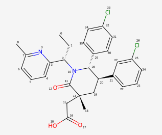 CC[C@@H](c1cccc(C)n1)N1C(=O)[C@@](C)(CC(=O)O)C[C@H](c2cccc(Cl)c2)[C@H]1c1ccc(Cl)cc1